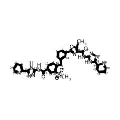 Cc1oc(-c2cccc(Cc3ccc(C(=O)Nc4nnc(-c5ccccn5)[nH]4)cc3S(C)(=O)=O)c2)nc1C(=O)Nc1nnc(-c2ccccn2)[nH]1